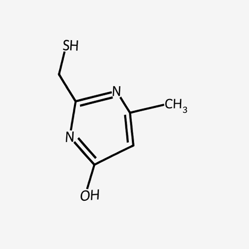 Cc1cc(O)nc(CS)n1